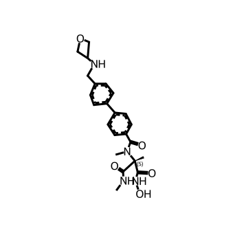 CNC(=O)[C@@](C)(C(=O)NO)N(C)C(=O)c1ccc(-c2ccc(CNC3COC3)cc2)cc1